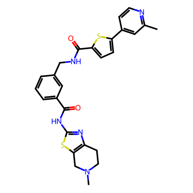 Cc1cc(-c2ccc(C(=O)NCc3cccc(C(=O)Nc4nc5c(s4)CN(C)CC5)c3)s2)ccn1